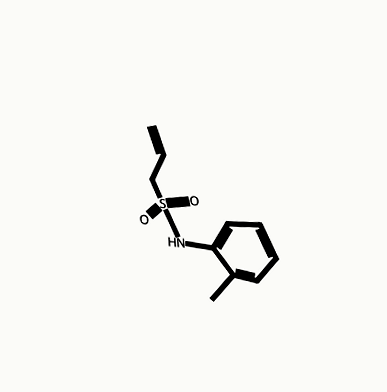 C=CCS(=O)(=O)Nc1ccccc1C